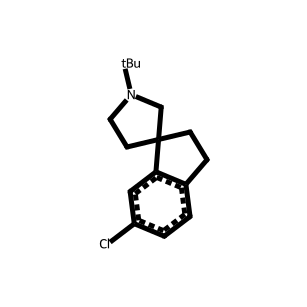 CC(C)(C)N1CCC2(CCc3ccc(Cl)cc32)C1